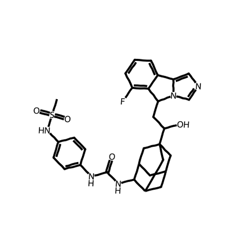 CS(=O)(=O)Nc1ccc(NC(=O)NC2C3CC4CC2CC(C(O)CC2c5c(F)cccc5-c5cncn52)(C4)C3)cc1